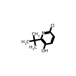 CC(C)(C)c1nc(Cl)ccc1O